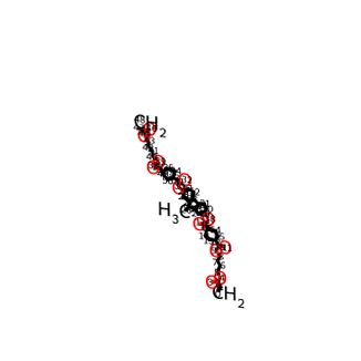 C=CC(=O)OCCCCOC(=O)c1ccc(C(=O)Oc2ccc3c(c2)C(C)c2cc(OC(=O)c4ccc(C(=O)OCCCCOC(=O)C=C)cc4)ccc2-3)cc1